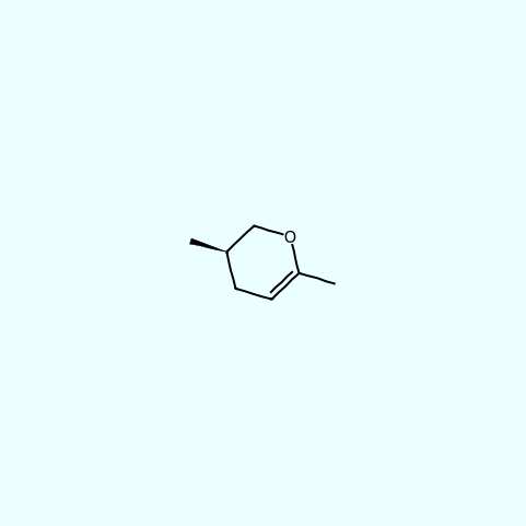 CC1=CC[C@@H](C)CO1